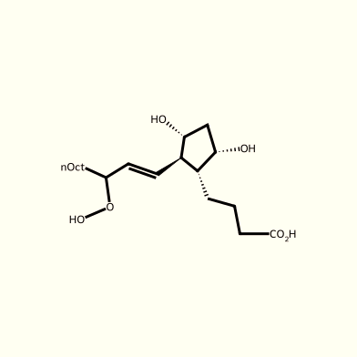 CCCCCCCCC(/C=C/[C@@H]1[C@@H](CCCC(=O)O)[C@@H](O)C[C@H]1O)OO